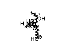 CCCC[C@@H](C)[C@H](O)/C=C/C1c2cc(CCCCC(=O)O)oc2C[C@H]1O.CS(N)(=O)=O